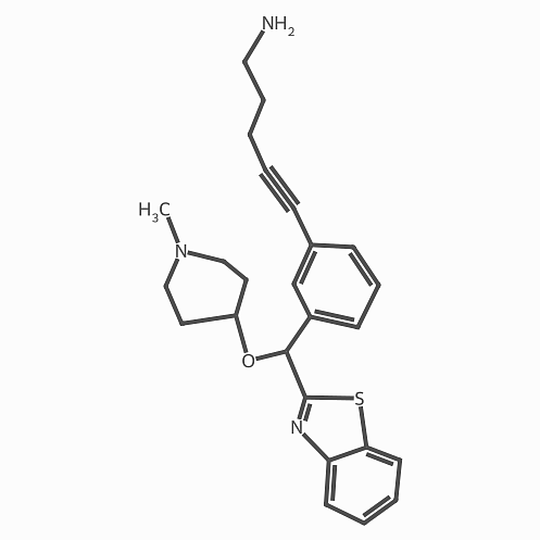 CN1CCC(OC(c2cccc(C#CCCCN)c2)c2nc3ccccc3s2)CC1